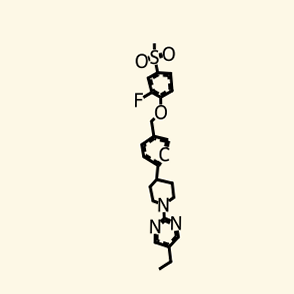 CCc1cnc(N2CCC(c3ccc(COc4ccc(S(C)(=O)=O)cc4F)cc3)CC2)nc1